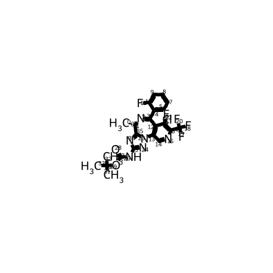 C[C@@H]1N=C(c2c(F)cccc2F)c2c(cnc(C(F)(F)F)c2Cl)-n2nc(NC(=O)OC(C)(C)C)nc21